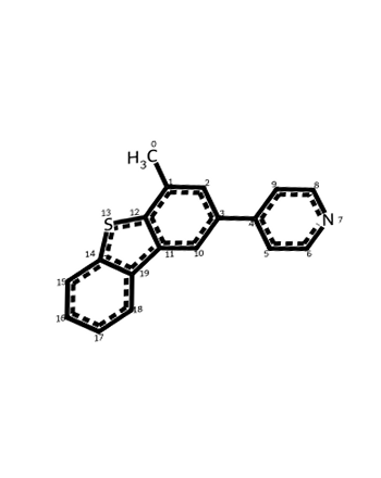 Cc1cc(-c2ccncc2)cc2c1sc1ccccc12